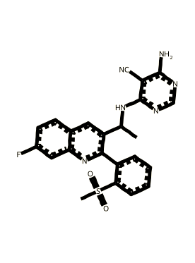 CC(Nc1ncnc(N)c1C#N)c1cc2ccc(F)cc2nc1-c1ccccc1S(C)(=O)=O